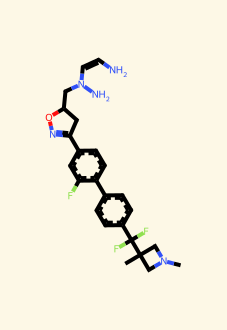 CN1CC(C)(C(F)(F)c2ccc(-c3ccc(C4=NOC(CN(N)/C=C\N)C4)cc3F)cc2)C1